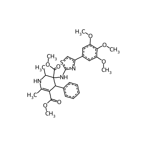 COC(=O)C1=C(C)NC(C)C(Nc2nc(-c3cc(OC)c(OC)c(OC)c3)cs2)(C(=O)OC)C1c1ccccc1